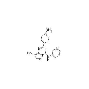 NN1CCC(c2cc(Nc3cccnc3)n3ncc(Br)c3n2)CC1